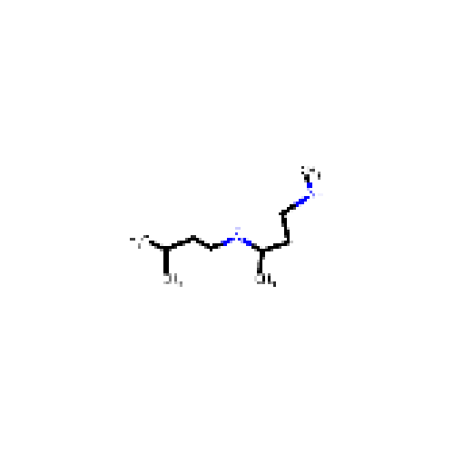 CNCCC(C)NCCC(C)C